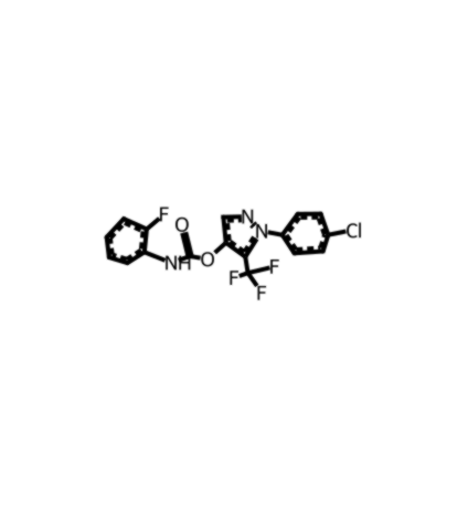 O=C(Nc1ccccc1F)Oc1cnn(-c2ccc(Cl)cc2)c1C(F)(F)F